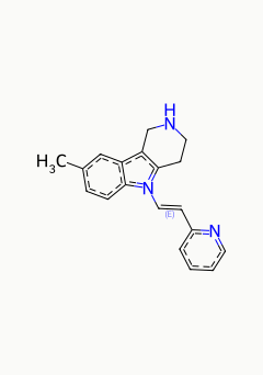 Cc1ccc2c(c1)c1c(n2/C=C/c2ccccn2)CCNC1